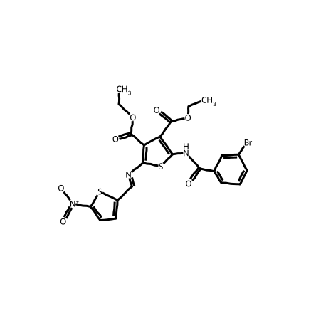 CCOC(=O)c1c(N=Cc2ccc([N+](=O)[O-])s2)sc(NC(=O)c2cccc(Br)c2)c1C(=O)OCC